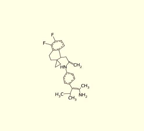 C=C(CC1c2ccc(F)c(F)c2CCC12CC2)Nc1ccc(/C(=C(\C)N)C(C)C)cc1